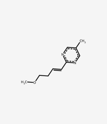 COCC/C=C/c1ncc(C)cn1